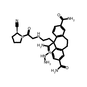 N#C[C@@H]1CCCN1C(=O)CNCCC1(/C(N)=N/NN)c2ccc(C(N)=O)cc2CCc2cc(C(N)=O)ccc21